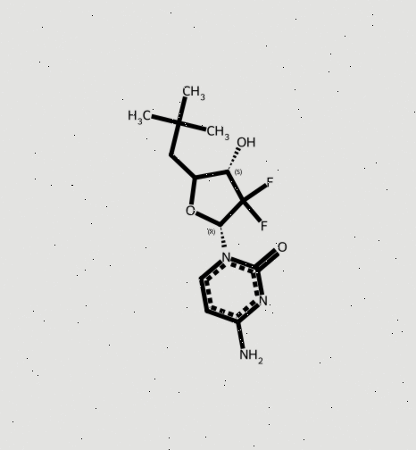 CC(C)(C)CC1O[C@@H](n2ccc(N)nc2=O)C(F)(F)[C@H]1O